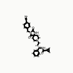 N#Cc1ccc(CN2C(=O)NC3(CCN(CC[C@H](NC(=O)C4CC4)c4ccccc4)CC3)C2=O)cc1